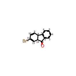 O=C1c2ccccc2C2C=CC(Br)=CC12